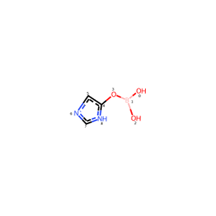 OB(O)Oc1cnc[nH]1